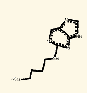 CCCCCCCCCCCCNc1ncc2nc[nH]c2n1